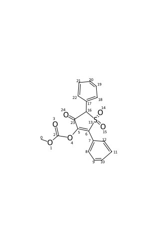 COC(=O)OC1=C(c2ccccc2)S(=O)(=O)C(c2ccccc2)C1=O